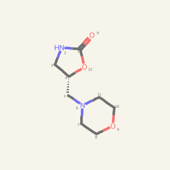 O=C1NC[C@@H](CN2CCOCC2)O1